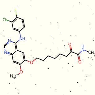 CNC(=O)C(=O)CCCCCCOc1cc2c(Nc3ccc(F)c(Cl)c3)ncnc2cc1OC